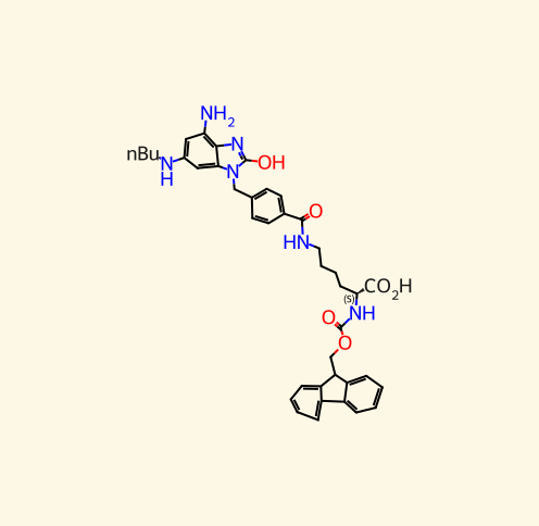 CCCCNc1cc(N)c2nc(O)n(Cc3ccc(C(=O)NCCCC[C@H](NC(=O)OCC4c5ccccc5-c5ccccc54)C(=O)O)cc3)c2c1